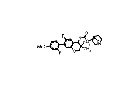 COc1ccc(-c2cc3c(cc2F)C(NC(=O)OC2CN4CCC2CC4)C(C)(C)CO3)c(F)c1